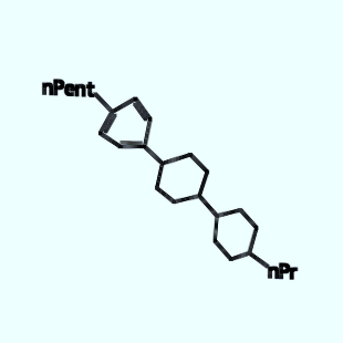 CCCCCc1ccc(C2CCC(C3CCC(CCC)CC3)CC2)cc1